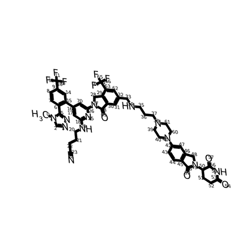 Cn1cnnc1-c1ccc(C(F)(F)F)cc1-c1cc(NCCCC#N)nc(N2Cc3c(cc(CNCCCN4CCN(c5ccc6c(c5)CN(C5CCC(=O)NC5=O)C6=O)CC4)cc3C(F)(F)F)C2=O)c1